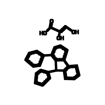 O=C(O)C(O)=CO.c1ccc(-c2cccc3c2C(c2ccccc2)c2ccccc2-3)cc1